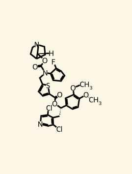 COc1ccc([C@H](Cc2c(Cl)cncc2Cl)OC(=O)c2ccc(CN(C(=O)O[C@H]3CN4CCC3CC4)c3ccccc3F)s2)cc1OC